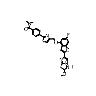 COC1Nn2cc(-c3cc4c(OCc5csc(-c6ccc(C(=O)N(C)C)cc6)n5)cc(F)cc4o3)nc2S1